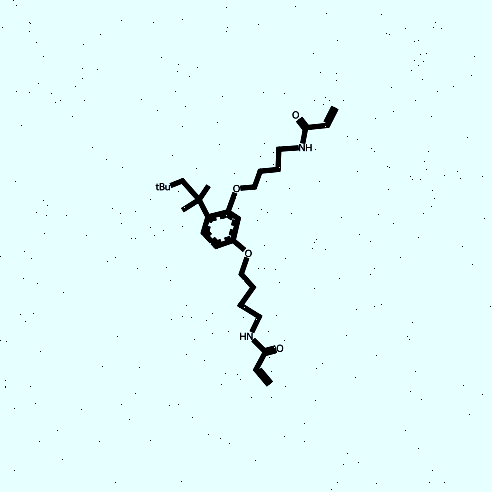 C=CC(=O)NCCCCOc1ccc(C(C)(C)CC(C)(C)C)c(OCCCCNC(=O)C=C)c1